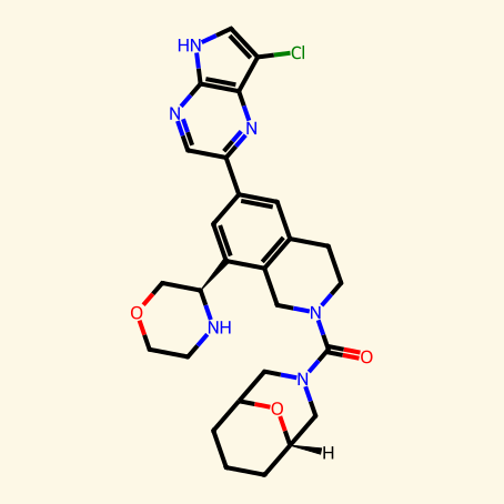 O=C(N1CCc2cc(-c3cnc4[nH]cc(Cl)c4n3)cc([C@@H]3COCCN3)c2C1)N1CC2CCC[C@@H](C1)O2